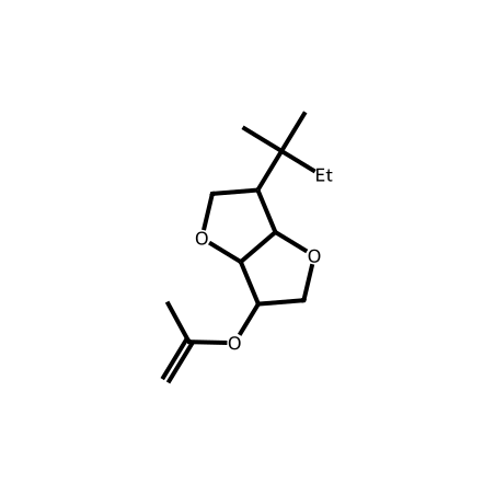 C=C(C)OC1COC2C1OCC2C(C)(C)CC